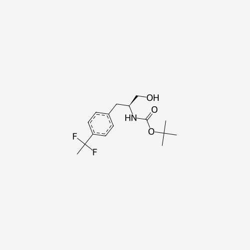 CC(C)(C)OC(=O)N[C@H](CO)Cc1ccc(C(C)(F)F)cc1